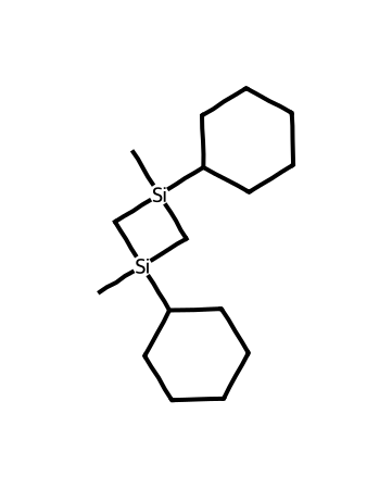 C[Si]1(C2CCCCC2)C[Si](C)(C2CCCCC2)C1